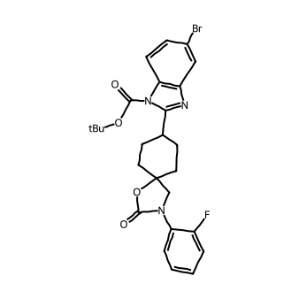 CC(C)(C)OC(=O)n1c(C2CCC3(CC2)CN(c2ccccc2F)C(=O)O3)nc2cc(Br)ccc21